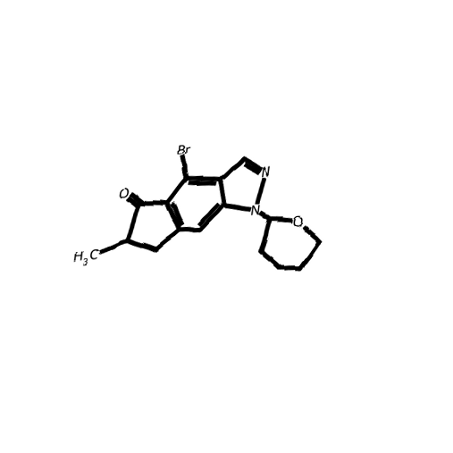 CC1Cc2cc3c(cnn3C3CCCCO3)c(Br)c2C1=O